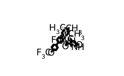 C[C@@H]1CN(c2cc(F)c(-c3ccc(OC(F)(F)F)cc3)cc2NC(=O)c2c[nH]c(=O)cc2C(F)(F)F)C[C@H](C)N1C